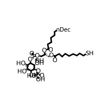 CCCCCCCCCCCCCCCC(=O)O[C@H](COC(=O)CCCCCCCCS)COP(=O)(O)OC1C(O)[C@@H](OP(=O)(O)O)C(O)[C@@H](O)[C@H]1O